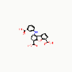 O=C(O)c1cccc(Nc2ccc(C(=O)O)c3oc4c(C(=O)O)cccc4c23)c1